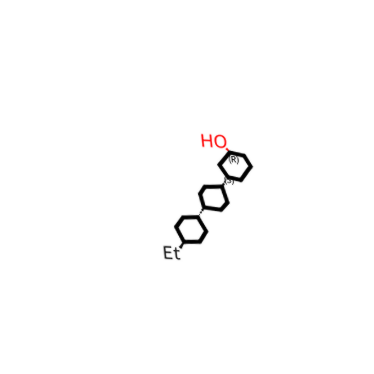 CC[C@H]1CC[C@H](C2CCC([C@H]3CCC[C@@H](O)C3)CC2)CC1